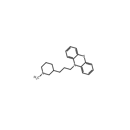 CN1CCCC(CCCN2c3ccccc3Sc3ccccc32)C1